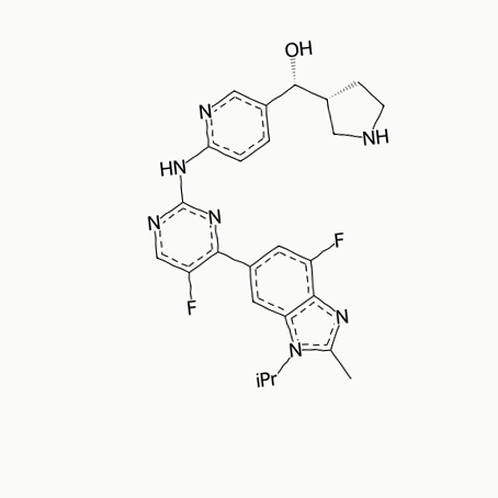 Cc1nc2c(F)cc(-c3nc(Nc4ccc([C@H](O)[C@@H]5CCNC5)cn4)ncc3F)cc2n1C(C)C